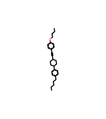 CCCCCc1ccc(C2CCC(C#Cc3ccc(OCCCC)cc3)CC2)cc1